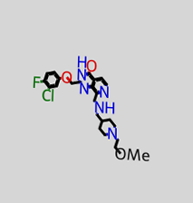 COCCN1CCC(CNCc2nccc3c(=O)[nH]c(COc4ccc(F)c(Cl)c4)nc23)CC1